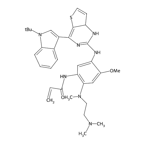 C=CC(=O)Nc1cc(NC2=NC(c3cn(C(C)(C)C)c4ccccc34)=C3SC=CC3N2)c(OC)cc1N(C)CCN(C)C